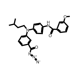 COc1cccc(C(=O)Nc2ccc(N(CCC(C)C)c3cccc(C(=O)N=[N+]=[N-])c3)cc2)c1